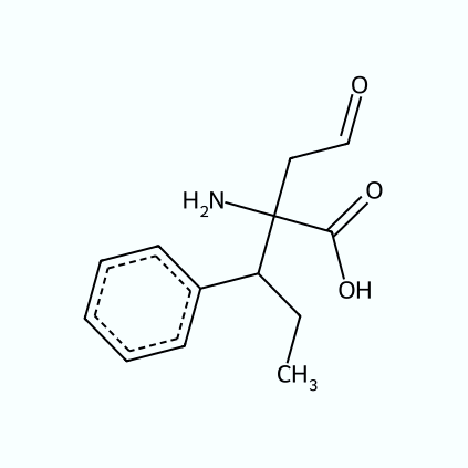 CCC(c1ccccc1)C(N)(CC=O)C(=O)O